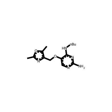 CCCCNc1nc(N)ncc1OCc1nc(C)oc1C